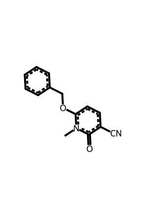 Cn1c(OCc2ccccc2)ccc(C#N)c1=O